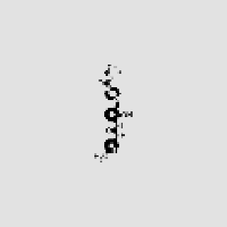 CCOC(=O)N1CCN(Cc2cccc(NC(=O)Nc3ccc(C)nc3)c2O)CC1